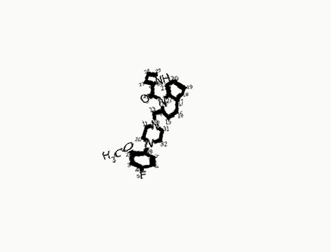 COc1cc(F)ccc1N1CCN(CC2CCc3ccccc3N2C(=O)c2ccc[nH]2)CC1